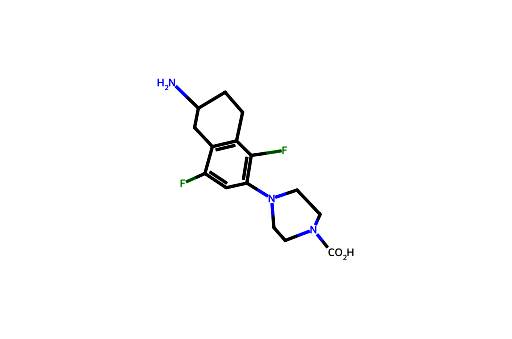 NC1CCc2c(F)c(N3CCN(C(=O)O)CC3)cc(F)c2C1